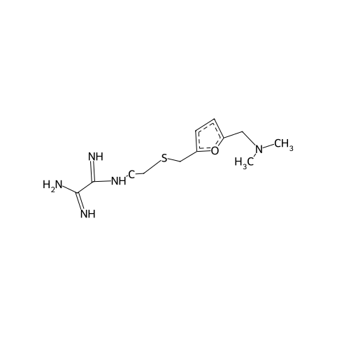 CN(C)Cc1ccc(CSCCNC(=N)C(=N)N)o1